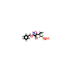 C=C[C@H](CCSO)c1onc(OCc2ccccc2)c1Br